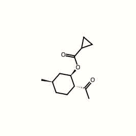 CC(=O)[C@@H]1CC[C@@H](C)C[C@H]1OC(=O)C1CC1